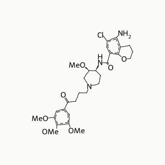 COc1cc(C(=O)CCCN2CC[C@H](NC(=O)c3cc(Cl)c(N)c4c3OCCC4)[C@H](OC)C2)cc(OC)c1OC